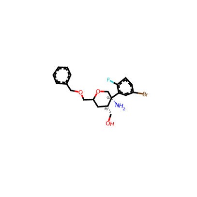 N[C@@]1(c2cc(Br)ccc2F)COC(COCc2ccccc2)C[C@H]1CO